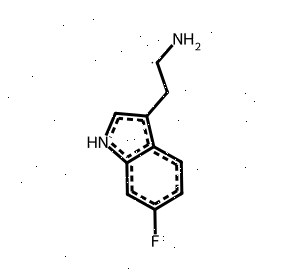 N[CH]Cc1c[nH]c2cc(F)ccc12